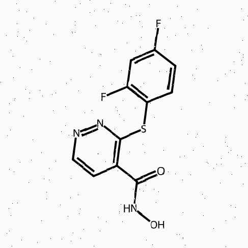 O=C(NO)c1ccnnc1Sc1ccc(F)cc1F